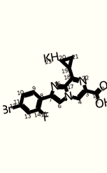 O=C(O)c1cn2cc(-c3ccc(Br)cc3F)nc2c(C2CC2)n1.[KH]